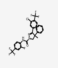 CC1(c2ccccc2)CN(C(=O)Nc2ccc(C(F)(F)F)cc2F)N=C1c1ccc(C(F)(F)F)c(Cl)c1